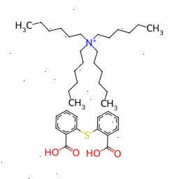 CCCCCC[N+](CCCCCC)(CCCCCC)CCCCCC.O=C(O)c1ccccc1Sc1ccccc1C(=O)O